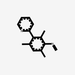 C=Nc1c(C)cc(C)c(-c2ccccn2)c1C